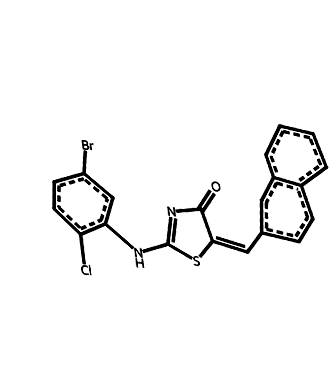 O=C1N=C(Nc2cc(Br)ccc2Cl)SC1=Cc1ccc2ccccc2c1